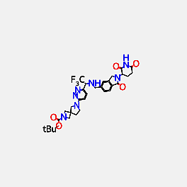 CC(C)(C)OC(=O)N1CC2(CCN(c3ccc(C(NCc4ccc5c(c4)CN(C4CCC(=O)NC4=O)C5=O)C(F)(F)F)nn3)C2)C1